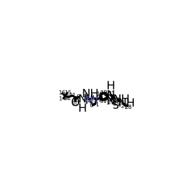 C=C/C(=C\N=C(/N)NCC(=O)CCC(C)(C)C)c1ccc2[nH]c(NC(=S)NCC)nc2c1